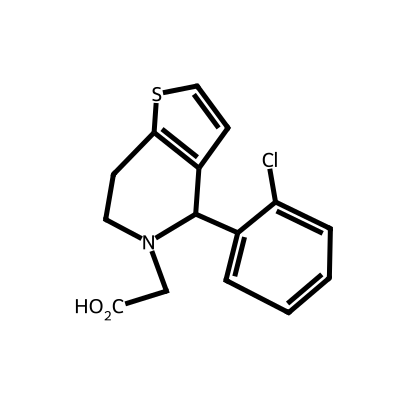 O=C(O)CN1CCc2sccc2C1c1ccccc1Cl